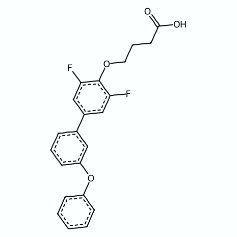 O=C(O)CCCOc1c(F)cc(-c2cccc(Oc3ccccc3)c2)cc1F